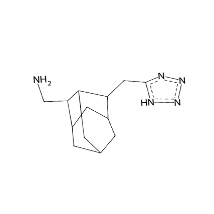 NCC1C2CC3CC(C2)C(Cc2nnn[nH]2)C1C3